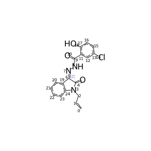 C=CCN1C(=O)/C(=N\NC(=O)c2cc(Cl)ccc2O)c2ccccc21